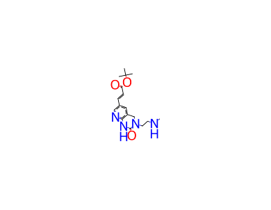 CNCCN1Cc2cc(C=CC(=O)OC(C)(C)C)cnc2NC1=O